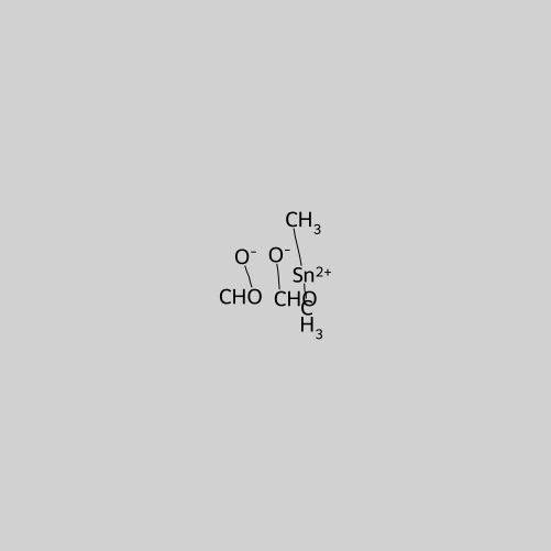 O=C[O-].O=C[O-].[CH3][Sn+2][CH3]